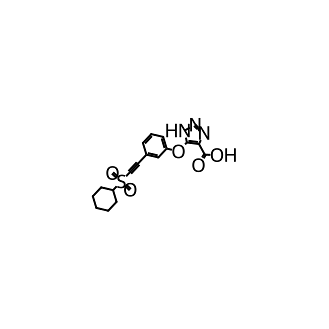 O=C(O)c1nn[nH]c1Oc1cccc(C#CS(=O)(=O)C2CCCCC2)c1